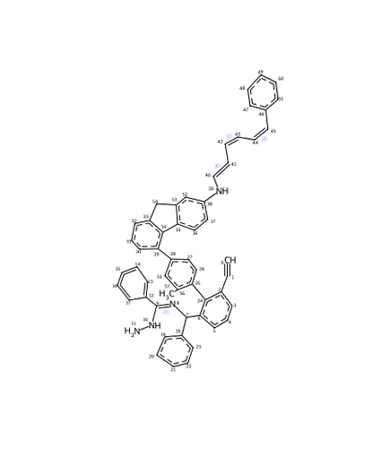 C#Cc1cccc(C(/N=C(\NN)C2=CC=C=C=C2)c2ccccc2)c1-c1ccc(-c2cccc3c2-c2ccc(N/C=C/C=C\C=C/c4ccccc4)cc2C3)cc1C